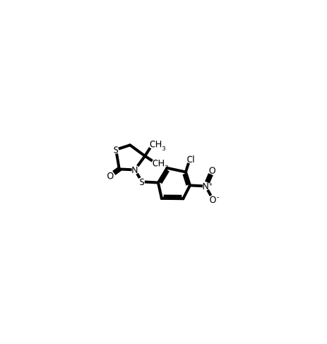 CC1(C)CSC(=O)N1Sc1ccc([N+](=O)[O-])c(Cl)c1